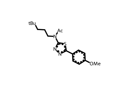 COc1ccc(-c2nnc(N(CCCC(C)(C)C)C(C)=O)s2)cc1